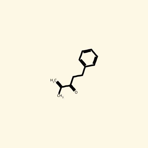 C=C(C)C(=O)CCc1ccccc1